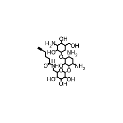 C#CCCCC(=O)NCC1O[C@H](O[C@@H]2C(N)C[C@@H](N)C(O[C@@H]3CC(CO)[C@H](O)C(N)C3O)C2O)C(O)C(O)[C@@H]1O